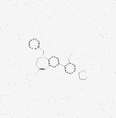 C1CCOC1.CCOc1ccccc1-c1ccc2c(c1)C=C(C(=O)O)CCN2Cc1ccccn1